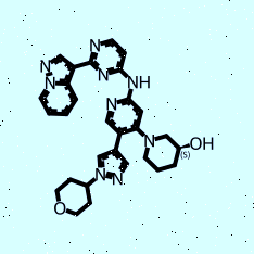 O[C@H]1CCCN(c2cc(Nc3ccnc(-c4cnn5ccccc45)n3)ncc2-c2cnn(C3CCOCC3)c2)C1